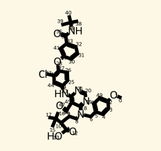 COc1ccc(CN(CCC(C(=O)O)C(C)(C)C)c2ncnc(Nc3ccc(Oc4cccc(C(=O)NC(C)(C)C)c4)c(Cl)c3)c2C=O)cc1